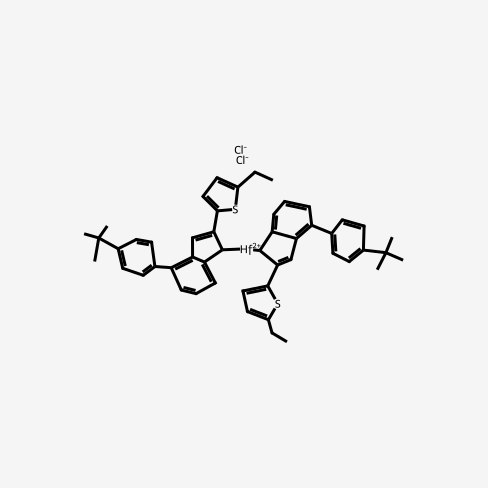 CCc1ccc(C2=Cc3c(-c4ccc(C(C)(C)C)cc4)cccc3[CH]2[Hf+2][CH]2C(c3ccc(CC)s3)=Cc3c(-c4ccc(C(C)(C)C)cc4)cccc32)s1.[Cl-].[Cl-]